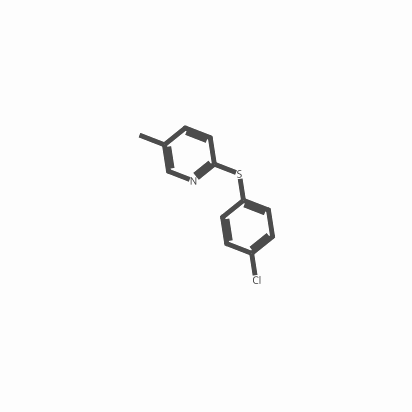 Cc1ccc(Sc2ccc(Cl)cc2)nc1